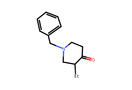 CCC1CN(Cc2ccccc2)CCC1=O